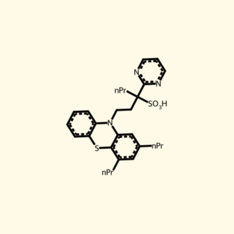 CCCc1cc(CCC)c2c(c1)N(CCC(CCC)(c1ncccn1)S(=O)(=O)O)c1ccccc1S2